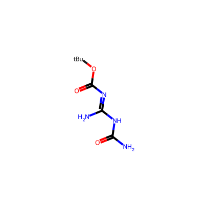 CC(C)(C)OC(=O)/N=C(\N)NC(N)=O